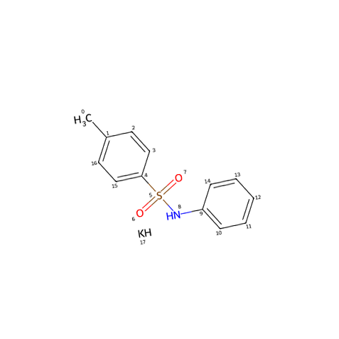 Cc1ccc(S(=O)(=O)Nc2ccccc2)cc1.[KH]